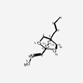 CCCC12COC(C=NO)(OC1)OC2